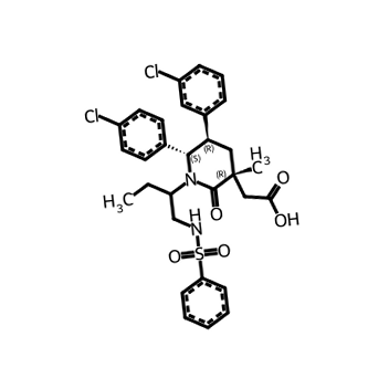 CCC(CNS(=O)(=O)c1ccccc1)N1C(=O)[C@@](C)(CC(=O)O)C[C@H](c2cccc(Cl)c2)[C@H]1c1ccc(Cl)cc1